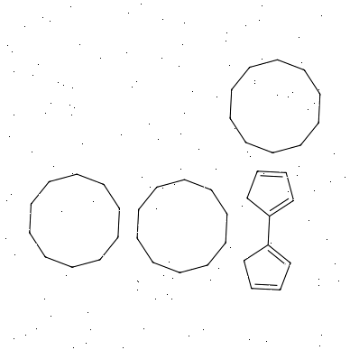 C1=CCC(C2=CC=CC2)=C1.C1CCCCCCCCC1.C1CCCCCCCCC1.C1CCCCCCCCC1